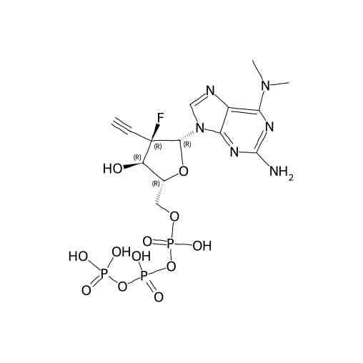 C#C[C@@]1(F)[C@H](O)[C@@H](COP(=O)(O)OP(=O)(O)OP(=O)(O)O)O[C@H]1n1cnc2c(N(C)C)nc(N)nc21